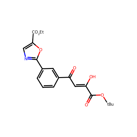 CCOC(=O)c1cnc(-c2cccc(C(=O)/C=C(\O)C(=O)OC(C)(C)C)c2)o1